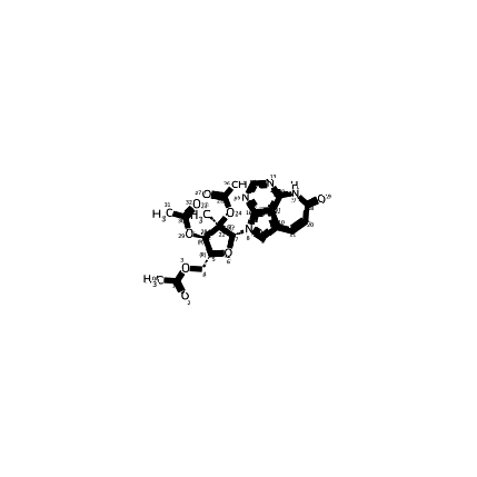 CC(=O)OC[C@H]1O[C@@H](n2cc3c4c(ncnc42)NC(=O)C=C3)[C@](C)(OC(C)=O)[C@@H]1OC(C)=O